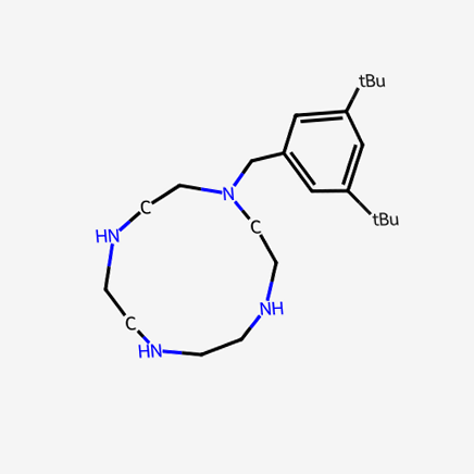 CC(C)(C)c1cc(CN2CCNCCNCCNCC2)cc(C(C)(C)C)c1